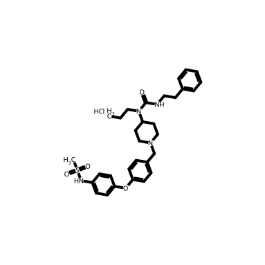 CCCN(C(=O)NCCc1ccccc1)C1CCN(Cc2ccc(Oc3ccc(NS(C)(=O)=O)cc3)cc2)CC1.Cl